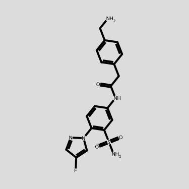 NCc1ccc(CC(=O)Nc2ccc(-n3cc(F)cn3)c(S(N)(=O)=O)c2)cc1